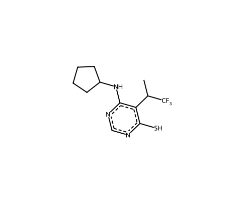 CC(c1c(S)ncnc1NC1CCCC1)C(F)(F)F